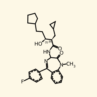 CN1C(=O)C(NC(=O)[C@H](CC2CC2)[C@@H](O)CCC2CCCC2)N=C(c2ccc(F)cc2)c2ccccc21